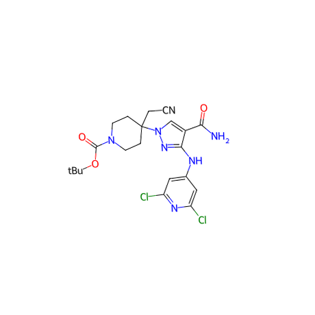 CC(C)(C)OC(=O)N1CCC(CC#N)(n2cc(C(N)=O)c(Nc3cc(Cl)nc(Cl)c3)n2)CC1